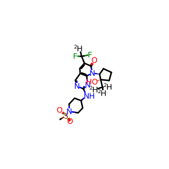 [2H]C(F)(F)c1cc2cnc(NC3CCN(S(C)(=O)=O)CC3)nc2n([C@H]2CCC[C@@]2(O)C([2H])([2H])[2H])c1=O